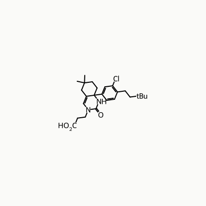 CC(C)(C)CCc1ccc(C23CCC(C)(C)CC2=CN(CCC(=O)O)C(=O)N3)cc1Cl